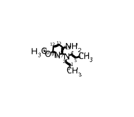 CC=CN(C=CC)c1nc(OC)ccc1N